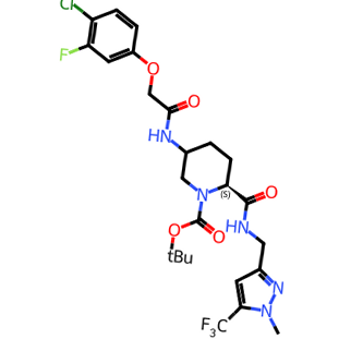 Cn1nc(CNC(=O)[C@@H]2CCC(NC(=O)COc3ccc(Cl)c(F)c3)CN2C(=O)OC(C)(C)C)cc1C(F)(F)F